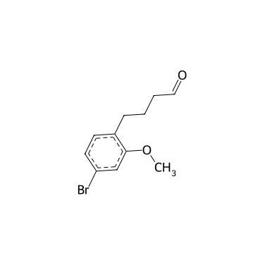 COc1cc(Br)ccc1CCCC=O